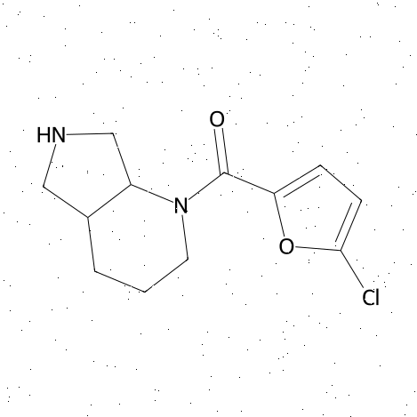 O=C(c1ccc(Cl)o1)N1CCCC2CNCC21